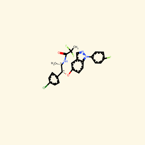 C[C@H](NC(=O)C(C)(F)F)[C@H](Oc1ccc2c(cnn2-c2ccc(F)cc2)c1)c1ccc(Cl)cc1